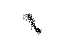 C[C@H](NC(=O)c1c[nH]c(CCc2ccc(C(F)(F)F)cc2)n1)C(=O)[C@H](C=O)C(N)C(=O)O